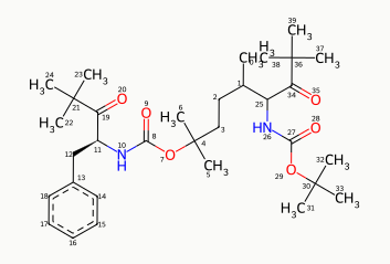 CC(CCC(C)(C)OC(=O)N[C@@H](Cc1ccccc1)C(=O)C(C)(C)C)C(NC(=O)OC(C)(C)C)C(=O)C(C)(C)C